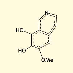 COc1cc2ccncc2c(O)c1O